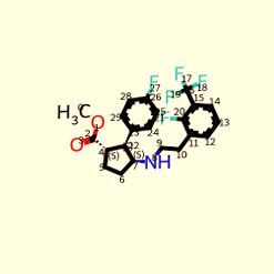 COC(=O)[C@H]1CC[C@H](NCCc2cccc(C(F)(F)F)c2F)[C@@H]1c1ccc(F)cc1